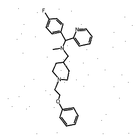 CN(CC1CCN(CCOc2ccccc2)CC1)C(c1ccc(F)cc1)c1ccccn1